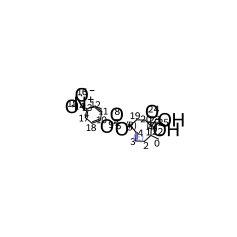 CC1C/C=C/[C@H](OC(=O)Oc2ccc([N+](=O)[O-])cc2)CC[C@@]1(O)C(=O)O